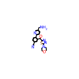 N#Cc1ccc(-c2ccc(CN)cn2)c(C(=O)c2nnc(N3CCOCC3)s2)c1